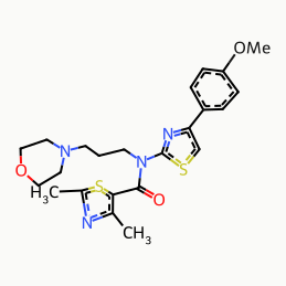 COc1ccc(-c2csc(N(CCCN3CCOCC3)C(=O)c3sc(C)nc3C)n2)cc1